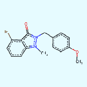 COc1ccc(Cn2c(=O)c3c(Br)cccc3n2C)cc1